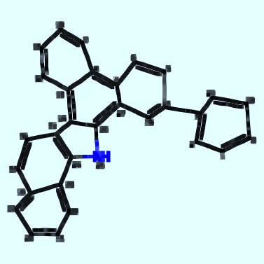 c1ccc(-c2ccc3c4ccccc4c4c5ccc6ccccc6c5[nH]c4c3c2)cc1